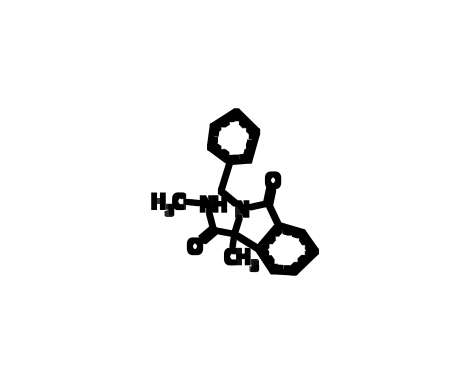 CNC(=O)C1(C)c2ccccc2C(=O)N1Cc1ccccc1